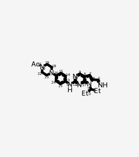 CCC(CC)n1c(C=N)cc2cnc(Nc3ccc(N4CCN(C(C)=O)CC4)cc3)nc21